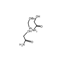 CC(C)COCC(C)C.NC(=O)CO.NC(=O)CO